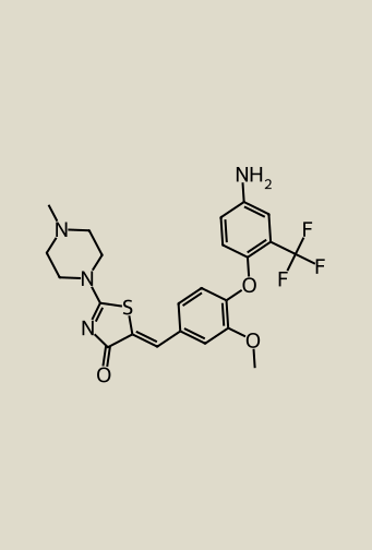 COc1cc(/C=C2\SC(N3CCN(C)CC3)=NC2=O)ccc1Oc1ccc(N)cc1C(F)(F)F